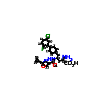 N[C@H](CC(Cc1ccc(-c2cc(Cl)ccc2F)cc1)NC(=O)c1coc(C2CC2)n1)C(=O)O